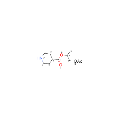 CC(=O)OCC(C)OC(=O)C1CCNCC1